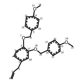 C=CCc1ccc(OCc2ccc(OC)cc2)c(OCc2ccc(OC)cc2)c1